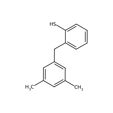 Cc1cc(C)cc(Cc2ccccc2S)c1